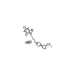 Cl.Cl.Cn1c(=O)c2c(ncn2CCCCCN2CCN(c3cccc(C(F)(F)F)c3)CC2)n(C)c1=O